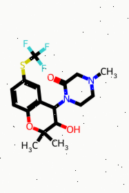 CN1CCN(C2c3cc(SC(F)(F)F)ccc3OC(C)(C)C2O)C(=O)C1